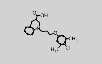 Cc1cc(OCCCN2CC(C(=O)O)Cc3ccccc32)cc(C)c1Cl